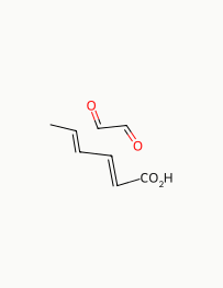 CC=CC=CC(=O)O.O=CC=O